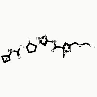 Cn1nc(COCC(F)(F)F)cc1C(=O)Nc1cc([C@@H]2CC[C@H](OC(=O)NC34CC(C3)C4)[C@H]2F)[nH]n1